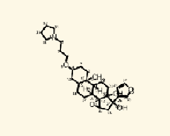 C[C@]12CCC(OCCCN3CCCC3)CC1CC[C@@H]1[C@H]2CC[C@]2(C)C(O)(c3ccoc3)CC3O[C@]312